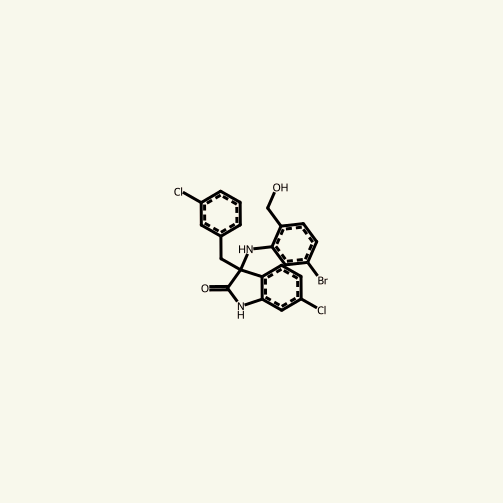 O=C1Nc2cc(Cl)ccc2C1(Cc1cccc(Cl)c1)Nc1cc(Br)ccc1CO